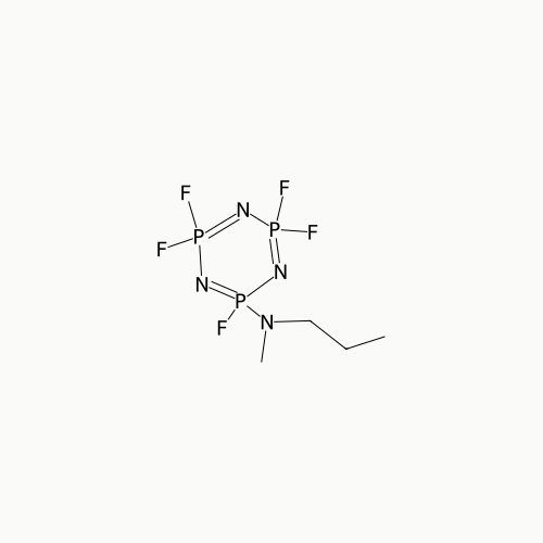 CCCN(C)P1(F)=NP(F)(F)=NP(F)(F)=N1